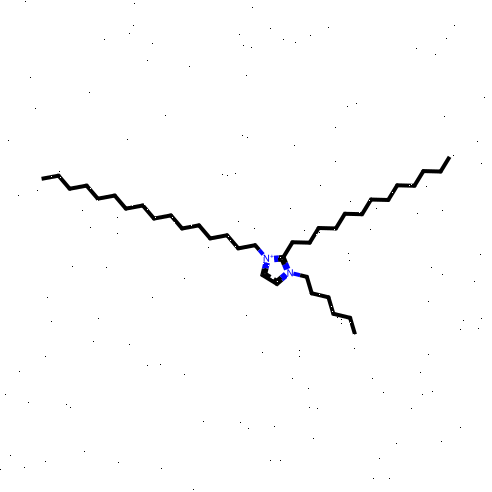 CCCCCCCCCCCCCCCC[n+]1ccn(CCCCCC)c1CCCCCCCCCCCCC